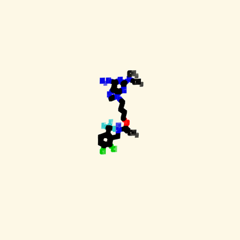 C=C(NCc1c(C(F)(F)F)ccc(Cl)c1Cl)OCCCCn1cnc2c(N)nc(N(C)C)nc21